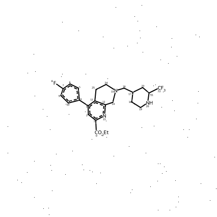 CCOC(=O)c1cc(-c2ccc(F)cc2)c2c(n1)CN(CC1CCNC(C(F)(F)F)C1)CC2